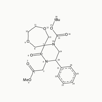 COC(=O)CN1C(=O)C2(COCCOC2)N(C(=O)OC(C)(C)C)CC1c1ccccc1